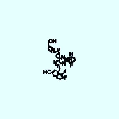 C#Cc1c(F)ccc2cc(O)cc(Cn3cnc4c(OCC5(CN6CCC(CO)C6)CC5)nc(N5C[C@H]6CC[C@@H](C5)N6)nc43)c12